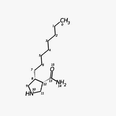 CCCCCCCC[C@H]1CNC[C@H]1C(N)=O